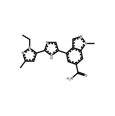 CCn1nc(C)cc1-c1ncc(-c2cc(C(N)=O)cc3c2cnn3C)[nH]1